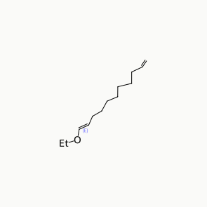 C=CCCCCCCC/C=C/OCC